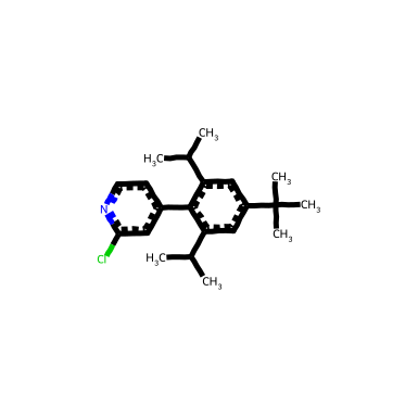 CC(C)c1cc(C(C)(C)C)cc(C(C)C)c1-c1ccnc(Cl)c1